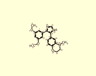 COc1cc(OC)cc(-c2nc[nH]c2-c2ccc3c(c2)N(C)CCO3)c1